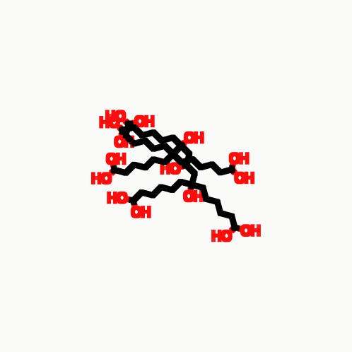 OC(O)CCCCCC(O)(CCCCCC(O)O)CC(O)CC(O)(CCCCCC(O)O)C(CCCCCC(O)O)(CCCCCC(O)O)CCCCCC(O)O